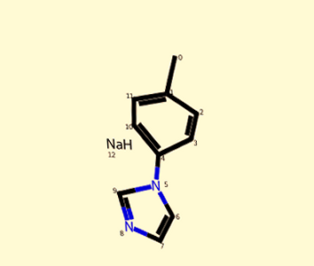 Cc1ccc(-n2ccnc2)cc1.[NaH]